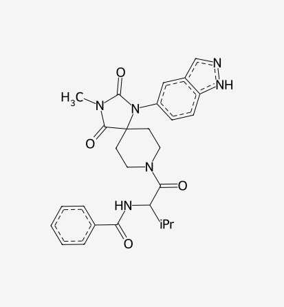 CC(C)C(NC(=O)c1ccccc1)C(=O)N1CCC2(CC1)C(=O)N(C)C(=O)N2c1ccc2[nH]ncc2c1